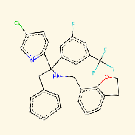 Fc1cc(C(F)(F)F)cc(C(Cc2ccccc2)(NCc2cccc3c2OCC3)c2ccc(Cl)cn2)c1